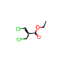 CCOC(=O)C(=CCl)CCl